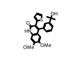 COc1cc2[nH]c(=O)c(-c3cccs3)c(-c3cccc(C(C)(C)O)c3)c2cc1OC